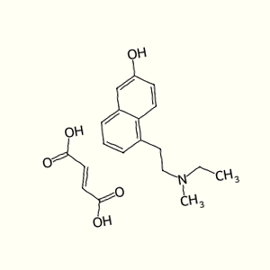 CCN(C)CCc1cccc2cc(O)ccc12.O=C(O)/C=C/C(=O)O